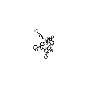 C[C@@H](CCOCCO)N(c1ccc2c(c1)c(-c1cc(N3CCCC3)nc(S(C)(=O)=O)n1)nn2C1CCCCO1)S(=O)(=O)c1ccccc1[N+](=O)[O-]